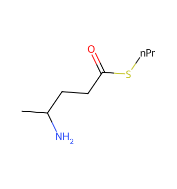 CCCSC(=O)CCC(C)N